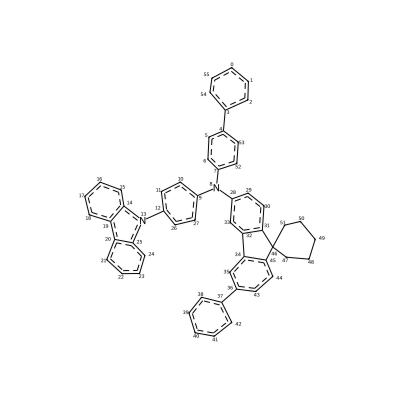 c1ccc(-c2ccc(N(c3ccc(-n4c5ccccc5c5ccccc54)cc3)c3ccc4c(c3)-c3cc(-c5ccccc5)ccc3C43CCCCC3)cc2)cc1